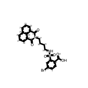 O=C(O)c1ccc(Br)cc1S(=O)(=O)NCCCCN1C(=O)c2cccc3cccc(c23)C1=O